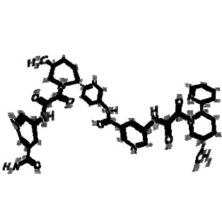 C[C@H]1CC[C@H](c2ccc(NC(=O)c3cncc(NC(=O)C(=O)N4C[C@@H](C)CC[C@@H]4c4ccccn4)c3)cn2)N(C(=O)C(=O)Nc2cncc(C(N)=O)c2)C1